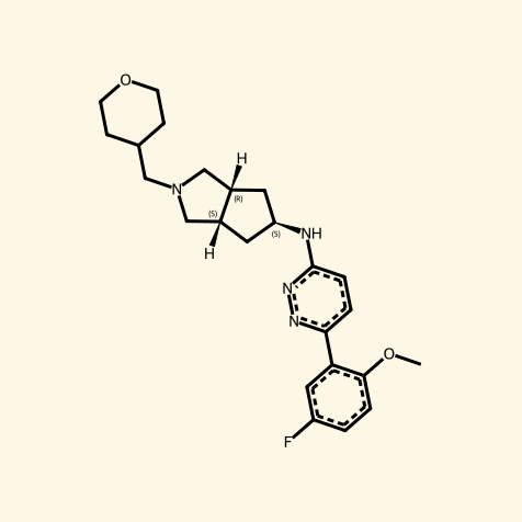 COc1ccc(F)cc1-c1ccc(N[C@H]2C[C@@H]3CN(CC4CCOCC4)C[C@@H]3C2)nn1